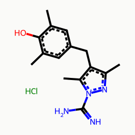 Cc1cc(Cc2c(C)nn(C(=N)N)c2C)cc(C)c1O.Cl